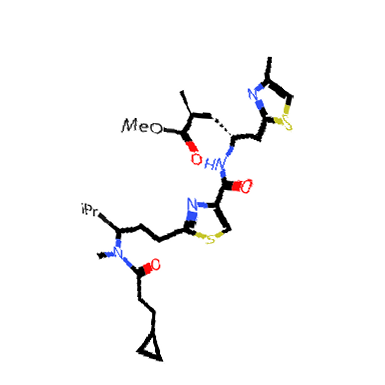 COC(=O)[C@@H](C)C[C@H](Cc1nc(C)cs1)NC(=O)c1csc(CCC(C(C)C)N(C)C(=O)CCC2CC2)n1